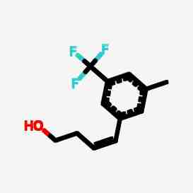 Cc1cc(/C=C\CCO)cc(C(F)(F)F)c1